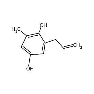 C=CCc1cc(O)cc(C)c1O